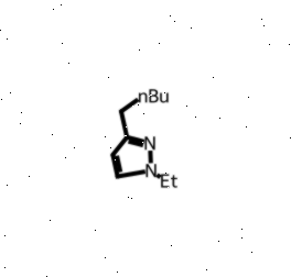 CCCCCc1ccn(CC)n1